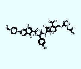 O=CN1CCN(c2ncc3c(=O)c(C(=O)NC(C(=O)NC4C(=O)N5C(C(=O)O)=C(CSc6nnnn6CC(=O)O)CS[C@@H]45)c4ccc(O)cc4)c[nH]c3n2)CC1